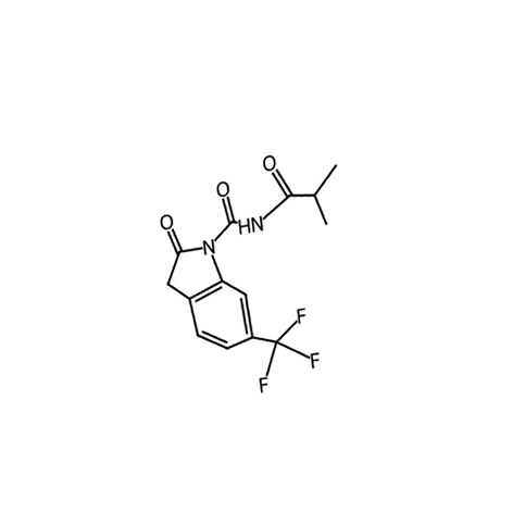 CC(C)C(=O)NC(=O)N1C(=O)Cc2ccc(C(F)(F)F)cc21